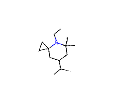 CCN1C(C)(C)CC(C(C)C)CC12CC2